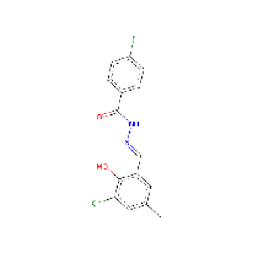 Cc1cc(Cl)c(O)c(/C=N/NC(=O)c2ccc(F)cc2)c1